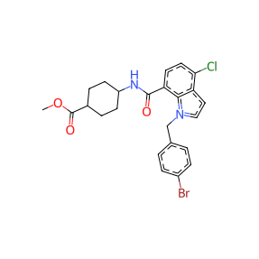 COC(=O)C1CCC(NC(=O)c2ccc(Cl)c3ccn(Cc4ccc(Br)cc4)c23)CC1